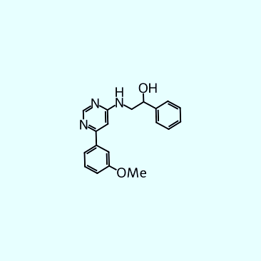 COc1cccc(-c2cc(NCC(O)c3ccccc3)ncn2)c1